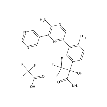 Cc1ccc(C(O)(C(N)=O)C(F)(F)F)cc1-c1cnc(N)c(-c2cncnc2)n1.O=C(O)C(F)(F)F